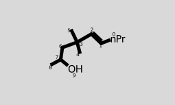 CCCC=CC(C)(C)CC(C)O